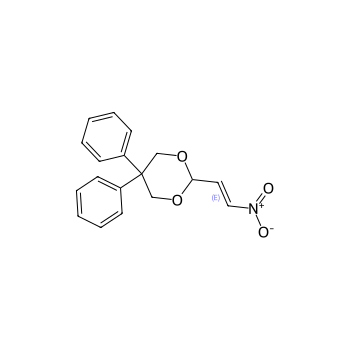 O=[N+]([O-])/C=C/C1OCC(c2ccccc2)(c2ccccc2)CO1